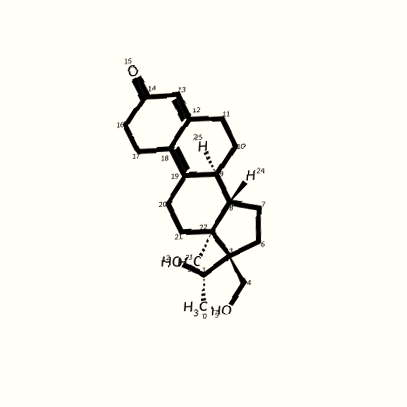 C[C@H](O)[C@@]1(CO)CC[C@H]2[C@@H]3CCC4=CC(=O)CCC4=C3CC[C@@]21C